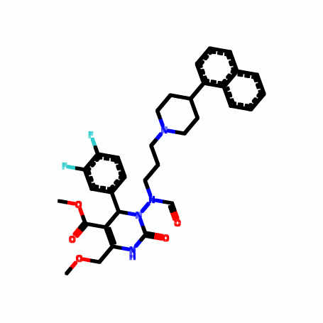 COCC1=C(C(=O)OC)C(c2ccc(F)c(F)c2)N(N(C=O)CCCN2CCC(c3cccc4ccccc34)CC2)C(=O)N1